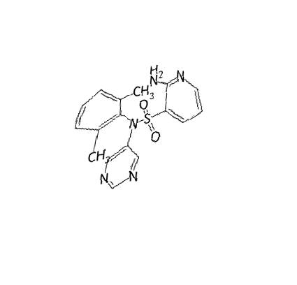 Cc1cccc(C)c1N(c1cncnc1)S(=O)(=O)c1cccnc1N